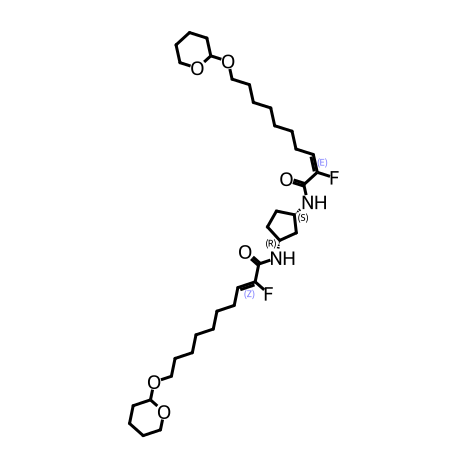 O=C(N[C@@H]1CC[C@H](NC(=O)/C(F)=C\CCCCCCCOC2CCCCO2)C1)/C(F)=C/CCCCCCCOC1CCCCO1